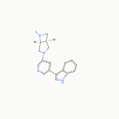 CN1C[C@H]2CN(c3cncc(-c4c[nH]c5ccccc45)c3)C[C@H]21